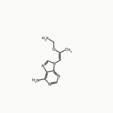 CC(=Cn1cnc2c(N)ncnc21)OCP